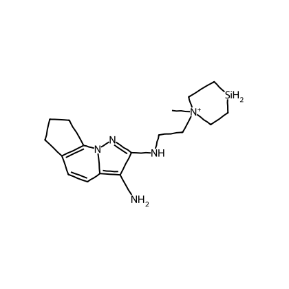 C[N+]1(CCNc2nn3c4c(ccc3c2N)CCC4)CC[SiH2]CC1